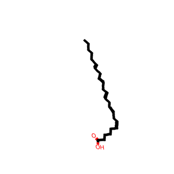 CCCCCC=CCC=CCC=CCC=CC/C=C\CCCCC(=O)O